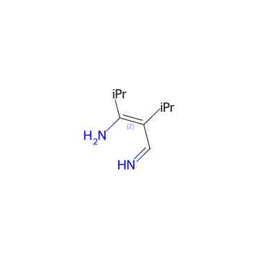 CC(C)/C(N)=C(/C=N)C(C)C